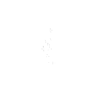 N#Cc1cc2cnc(N[C@@H]3CCOC[C@@H]3O)nn2c1